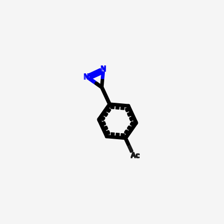 CC(=O)c1ccc(C2N=N2)cc1